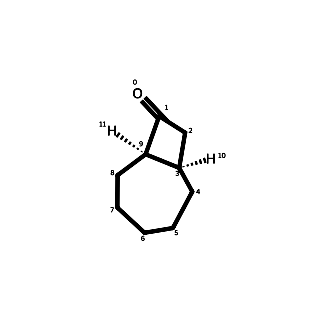 O=C1C[C@H]2CCCCC[C@@H]12